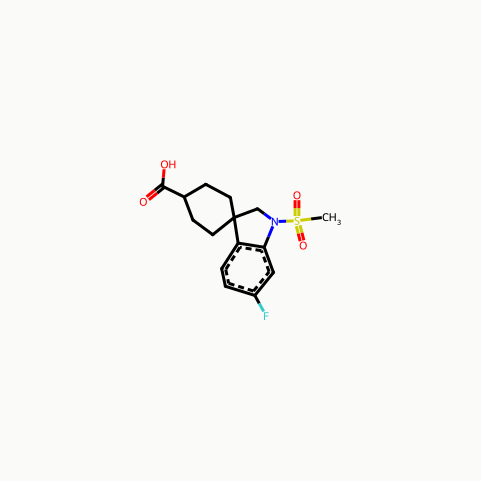 CS(=O)(=O)N1CC2(CCC(C(=O)O)CC2)c2ccc(F)cc21